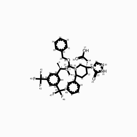 C[C@@H](OC[C@@]1(c2ccccc2)CC[C@](CC(=O)O)(n2cn[nH]c2=O)CN1C(=O)OCc1ccccc1)c1cc(C(F)(F)F)cc(C(F)(F)F)c1